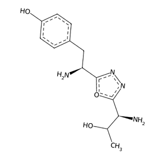 CC(O)[C@H](N)c1nnc([C@@H](N)Cc2ccc(O)cc2)o1